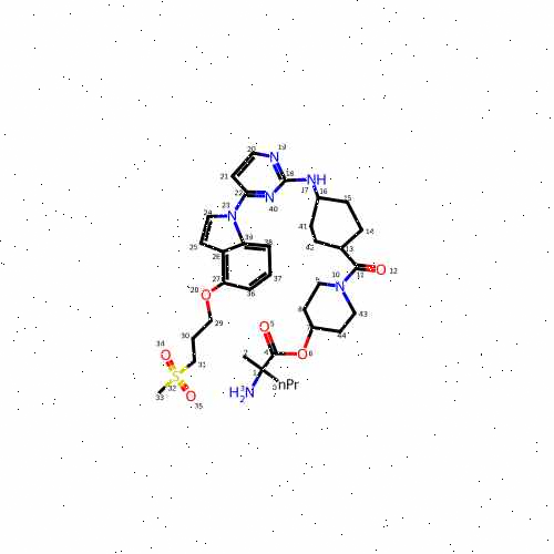 CCCC(C)(N)C(=O)OC1CCN(C(=O)C2CCC(Nc3nccc(-n4ccc5c(OCCCS(C)(=O)=O)cccc54)n3)CC2)CC1